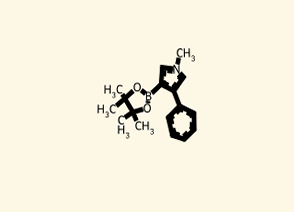 Cn1cc(B2OC(C)(C)C(C)(C)O2)c(-c2ccccc2)c1